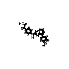 COc1ncc(-c2cccn3nc(Nc4ccc(C(=O)CO)cc4)nc23)cc1F